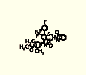 C=CC(=O)N1[C@H](C)CN(c2nc(=O)n3c4c(c(-c5ccc(F)cc5)c(C(F)(F)F)cc24)SCC(n2nc4ccccn4c2=O)C3)C[C@@H]1C